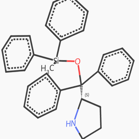 C[Si](OC(c1ccccc1)(c1ccccc1)[C@@H]1CCCN1)(c1ccccc1)c1ccccc1